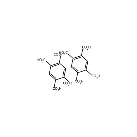 O=C(O)c1cc(C(=O)O)c(C(=O)O)cc1C(=O)O.O=C(O)c1cc(C(=O)O)c(C(=O)O)cc1C(=O)O